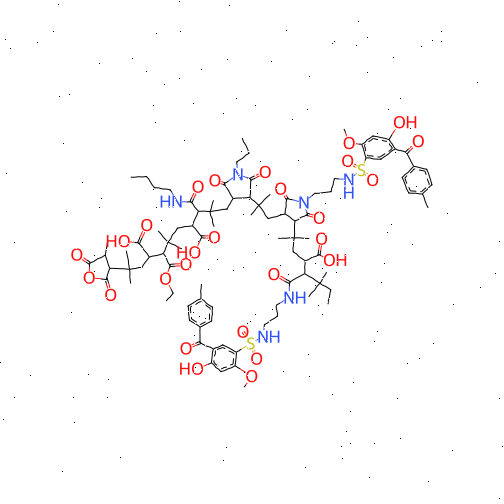 CCCCNC(=O)C(C(CC(C)(C)C(C(=O)OCC)C(CC(C)(C)C1C(=O)OC(=O)C1C)C(=O)O)C(=O)O)C(C)(C)CC1C(=O)N(CCC)C(=O)C1C(C)(C)CC1C(=O)N(CCCNS(=O)(=O)c2cc(C(=O)c3ccc(C)cc3)c(O)cc2OC)C(=O)C1C(C)(C)CC(C(=O)O)C(C(=O)NCCCNS(=O)(=O)c1cc(C(=O)c2ccc(C)cc2)c(O)cc1OC)C(C)(C)CC